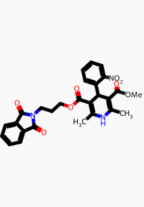 COC(=O)C1=C(C)NC(C)=C(C(=O)OCCCN2C(=O)c3ccccc3C2=O)C1c1ccccc1[N+](=O)[O-]